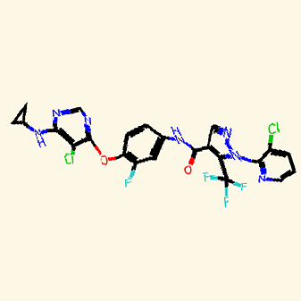 O=C(Nc1ccc(Oc2ncnc(NC3CC3)c2Cl)c(F)c1)c1cnn(-c2ncccc2Cl)c1C(F)(F)F